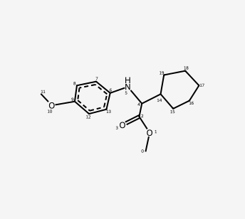 COC(=O)C(Nc1ccc(OC)cc1)C1CCCCC1